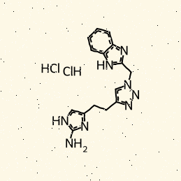 Cl.Cl.Nc1nc(CCc2cn(Cc3nc4ccccc4[nH]3)nn2)c[nH]1